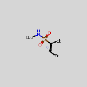 CC/C=C(\CC)S(=O)(=O)NC(C)(C)C